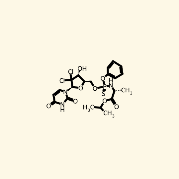 CC(C)OC(=O)[C@@H](C)NP(=S)(OC[C@H]1O[C@@H](n2ccc(=O)[nH]c2=O)C(Cl)(Cl)[C@@H]1O)Oc1ccccc1